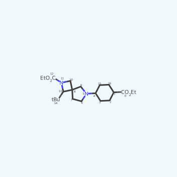 CCOC(=O)C1CCC(N2CCC3(C2)CN(C(=O)OCC)C3C(C)(C)C)CC1